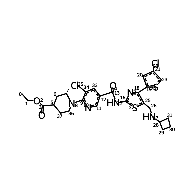 CCOC(=O)C1CCN(c2ncc(C(=O)Nc3nc(-c4cc(Cl)cs4)c(CNC4CCC4)s3)cc2Cl)CC1